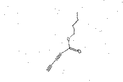 C#CC#CC(=O)OCCCC